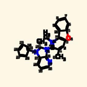 CC1=Cc2oc3ccccc3c2N(C)B1N1c2ncccc2N(c2ccccc2)[C@@H]1C